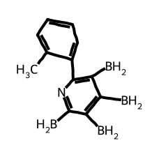 Bc1nc(-c2ccccc2C)c(B)c(B)c1B